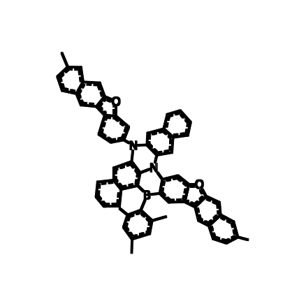 Cc1cc(C)c(B2c3cc4c(cc3N3c5cc6ccccc6cc5N(c5ccc6c(c5)oc5cc7cc(C)ccc7cc56)c5cc6ccccc6c2c53)oc2cc3cc(C)ccc3cc24)c(C)c1